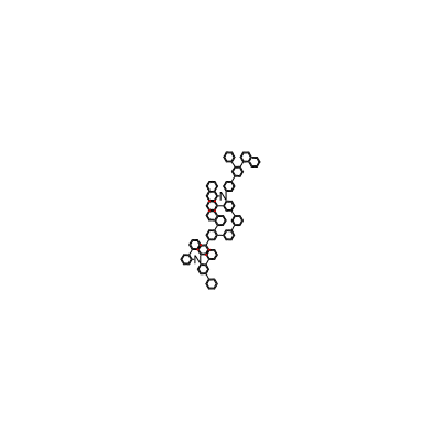 c1ccc(-c2ccc(N(c3ccc(-c4ccc(-c5cccc6ccccc56)c(-c5cccc(-c6cccc(-c7ccc(N(c8ccc(-c9ccc(-c%10cccc%11ccccc%10%11)c(-c%10ccccc%10)c9)cc8)c8cccc9ccccc89)c(-c8ccccc8)c7)c6)c5)c4)cc3)c3ccccc3-c3ccccc3)c(-c3ccccc3)c2)cc1